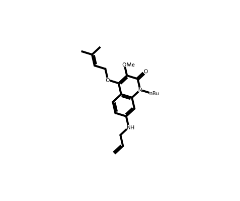 C=CCNc1ccc2c(OCC=C(C)C)c(OC)c(=O)n(CCCC)c2c1